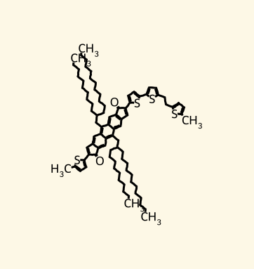 CCCCCCCCCCCCC(CCCCCCCCCC)Cc1c2cc3cc(-c4ccc(-c5ccc(CCc6ccc(C)s6)s5)s4)c(=O)c3cc2c(CC(CCCCCCCCCC)CCCCCCCCCCCC)c2cc3cc(-c4ccc(C)s4)c(=O)c3cc12